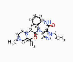 CCn1ncc2c1C(=O)Nc1ccccc1N2C(=O)CN1CCN(C)CC1C